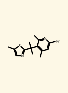 Cc1cnc(C(C)(C)c2c(C)cc(C(C)C)nc2C)s1